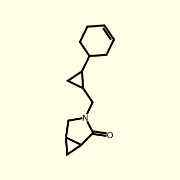 O=C1C2CC2CN1CC1CC1C1CC=CCC1